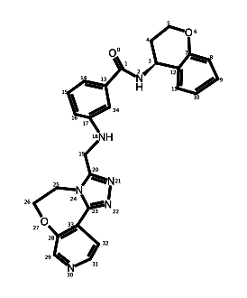 O=C(N[C@H]1CCOc2ccccc21)c1cccc(NCc2nnc3n2CCOc2cnccc2-3)c1